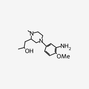 COc1ccc(N2CCN(C)C(CC(C)O)C2)cc1N